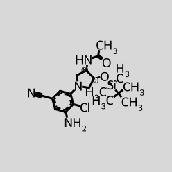 CC(=O)N[C@@H]1CN(c2cc(C#N)cc(N)c2Cl)C[C@@H]1O[Si](C)(C)C(C)(C)C